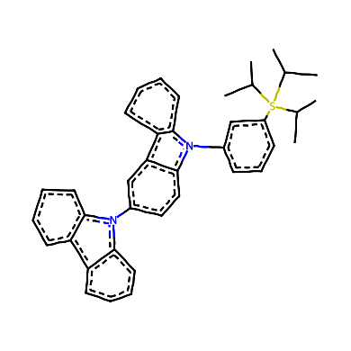 CC(C)S(c1cccc(-n2c3ccccc3c3cc(-n4c5ccccc5c5ccccc54)ccc32)c1)(C(C)C)C(C)C